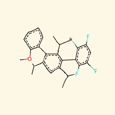 COc1ccccc1-c1c(C(C)C)cc(C(C)C)c(-c2c(F)c(F)cc(F)c2F)c1C(C)C